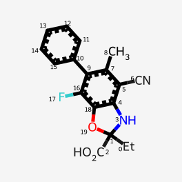 CCC1(C(=O)O)Nc2c(C#N)c(C)c(-c3ccccc3)c(F)c2O1